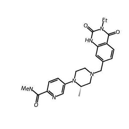 CCn1c(=O)[nH]c2cc(CN3CCN(c4ccc(C(=O)NC)nc4)[C@@H](C)C3)ccc2c1=O